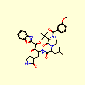 CCN(C(=O)[C@@H](NC(=O)c1cccc(OC)c1)C(C)(C)C)C(CC(C)C)C(=O)NC(CC1CCNC1=O)C(=O)C(=O)c1nc2ccccc2o1